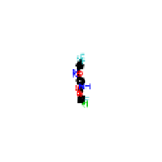 O=C(COc1ccc(Cl)c(F)c1)N[C@H]1CC[C@H](c2nnc(C3CCC(C(F)(F)F)CC3)o2)CC1